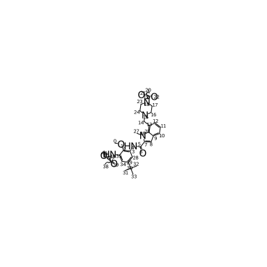 COc1c(NC(=O)c2cc3cccc(CN4CCN(S(C)(=O)=O)CC4)c3n2C)cc(C(C)(C)C)cc1NS(C)(=O)=O